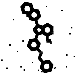 Nc1nccn2c(-c3ccc4ccccc4c3)nc(-c3cccc(OCc4ccccc4)c3)c12